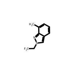 Cc1cccc2cn(CC(F)(F)F)nc12